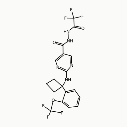 O=C(NNC(=O)C(F)(F)F)c1cnc(NC2(c3ccccc3OC(F)(F)F)CCC2)nc1